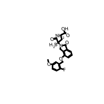 B[C@@](CCC(=O)O)(C(N)=O)N1Cc2c(OCc3cc(OC)ccc3F)cccc2C1=O